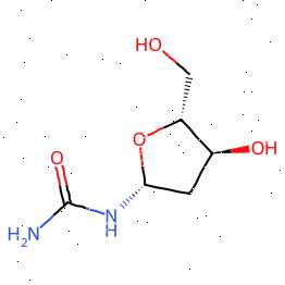 NC(=O)N[C@H]1C[C@H](O)[C@@H](CO)O1